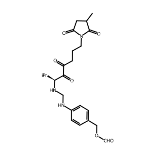 CC1CC(=O)N(CCCC(=O)C(=O)[C@@H](NCNc2ccc(COC=O)cc2)C(C)C)C1=O